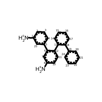 Nc1cccc(-c2cc(N)ccc2-c2ccccc2-c2ccccc2)c1